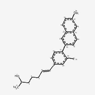 CC(O)CCCC=Cc1ccc(-c2ccc3cc(O)ccc3c2)c(F)c1